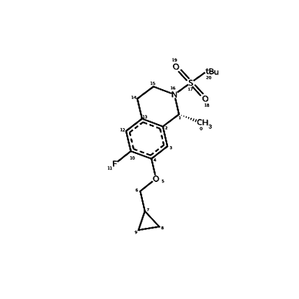 C[C@@H]1c2cc(OCC3CC3)c(F)cc2CCN1S(=O)(=O)C(C)(C)C